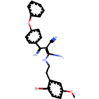 COc1ccc(Br)c(CCN/C(N)=C(/C#N)C(=N)c2ccc(Oc3ccccc3)cc2)c1